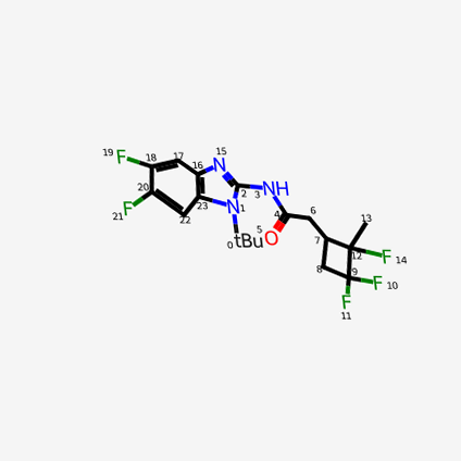 CC(C)(C)n1c(NC(=O)CC2CC(F)(F)C2(C)F)nc2cc(F)c(F)cc21